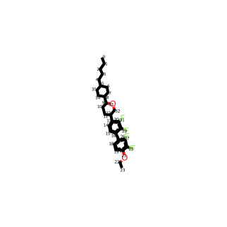 CCCCCC1CCC(C2CCC(c3ccc(-c4ccc(OCC)c(F)c4F)c(F)c3F)CO2)CC1